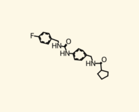 O=C(NCc1ccc(F)cc1)Nc1ccc(CNC(=O)C2CCCC2)cc1